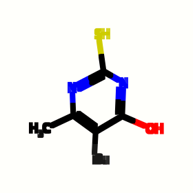 CCC(C)c1c(C)nc(S)nc1O